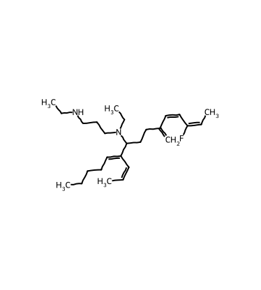 C=C(/C=C\C(F)=C/C)CCC(C(/C=C\C)=C/CCCC)N(CC)CCCNCC